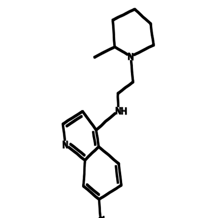 CC1CCCCN1CCNc1ccnc2cc(Cl)ccc12